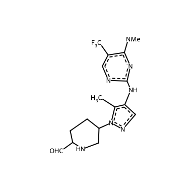 CNc1nc(Nc2cnn(C3CCC(C=O)NC3)c2C)ncc1C(F)(F)F